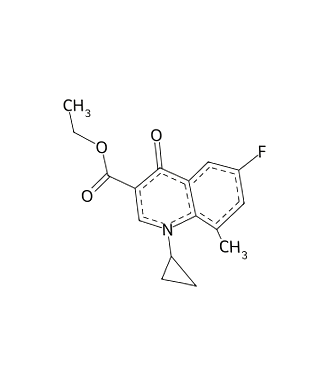 CCOC(=O)c1cn(C2CC2)c2c(C)cc(F)cc2c1=O